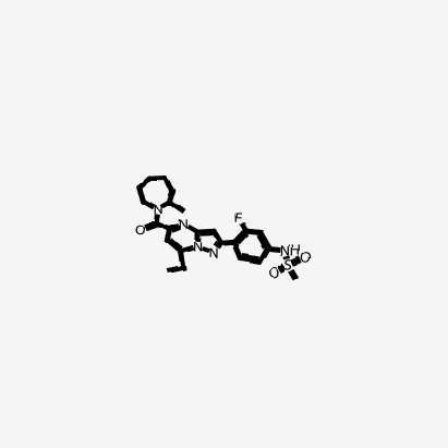 CCc1cc(C(=O)N2CCCCCC2C)nc2cc(-c3ccc(NS(C)(=O)=O)cc3F)nn12